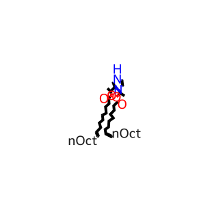 CCCCCCCCC=CCCCCCCCC(=O)OC(C)C1CNCCN1C(C)OC(=O)CCCCCCC/C=C\CCCCCCCC